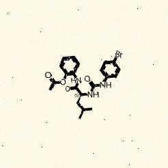 CC(=O)Oc1ccccc1NC(=O)[C@H](CC(C)C)NC(=O)Nc1ccc(Br)cc1